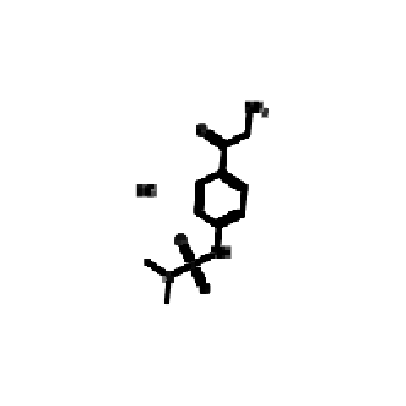 CN(C)S(=O)(=O)Nc1ccc(C(=O)CN)cc1.Cl